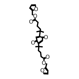 CC(C)(CCCC(=O)OCc1ccco1)C1=CC(=O)C(C(C)(C)CCCC(=O)OCc2ccco2)=CC1=O